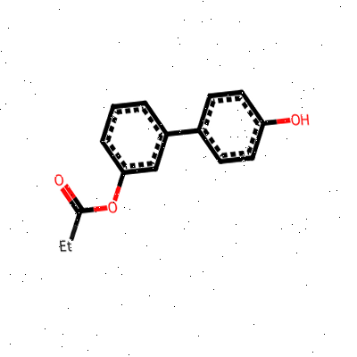 CCC(=O)Oc1cccc(-c2ccc(O)cc2)c1